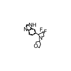 FC1(F)CN(C2CCOC2)C1c1ccc2nc[nH]c2c1